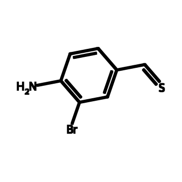 Nc1ccc(C=S)cc1Br